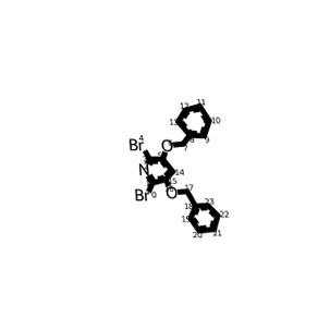 Brc1nc(Br)c(OCc2ccccc2)cc1OCc1ccccc1